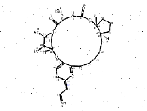 CC[C@@H]1[C@@H]2CN(C(=O)[C@H](C(C)(C)C)NC(=O)O[C@]3(C)CCC[C@H]3CCCCCC3=N/C(=C/C=N)NC=C3O2)[C@@H]1C(C)=O